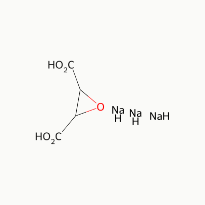 O=C(O)C1OC1C(=O)O.[NaH].[NaH].[NaH]